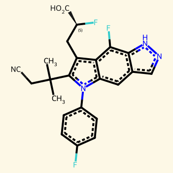 CC(C)(CC#N)c1c(C[C@H](F)C(=O)O)c2c(F)c3[nH]ncc3cc2n1-c1ccc(F)cc1